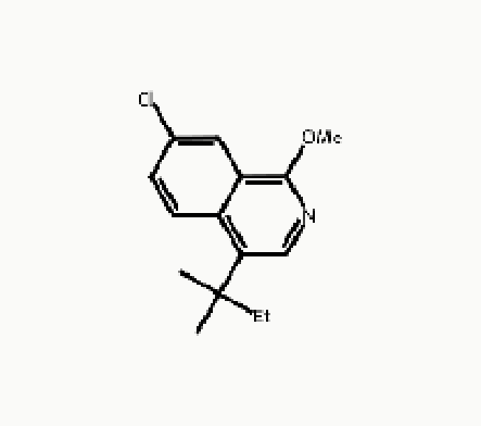 CCC(C)(C)c1cnc(OC)c2cc(Cl)ccc12